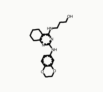 OCCCNc1nc(Nc2ccc3c(c2)OCCO3)nc2c1CCCC2